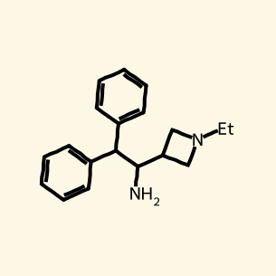 CCN1CC(C(N)C(c2ccccc2)c2ccccc2)C1